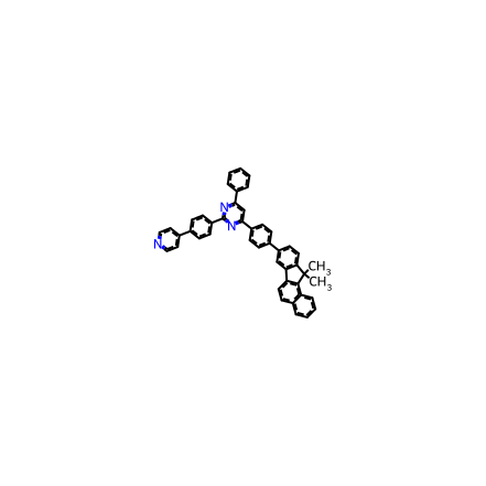 CC1(C)c2ccc(-c3ccc(-c4cc(-c5ccccc5)nc(-c5ccc(-c6ccncc6)cc5)n4)cc3)cc2-c2ccc3ccccc3c21